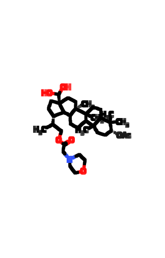 CC(=O)O[C@@H]1CC[C@@]2(C)C(CC[C@]3(C)C2CCC2C4[C@H](C(C)COC(=O)CN5CCOCC5)CC[C@]4(C(O)O)CC[C@]23C)C1(C)C